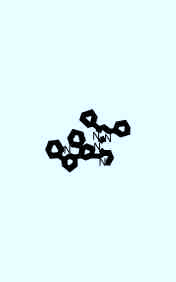 c1ccc(-c2cc(-c3ccccc3)nc(-n3c4ccc(-c5cccc6c7ccccc7n(-c7ccccc7)c56)cc4c4ncccc43)n2)cc1